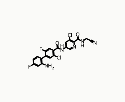 N#CCNC(=O)c1ncc(NC(=O)c2cc(F)c(-c3ccc(F)cc3N)cc2Cl)cc1Cl